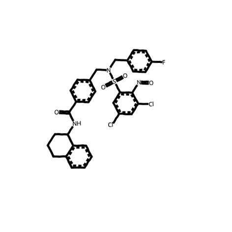 O=Nc1c(Cl)cc(Cl)cc1S(=O)(=O)N(Cc1ccc(F)cc1)Cc1ccc(C(=O)NC2CCCc3ccccc32)cc1